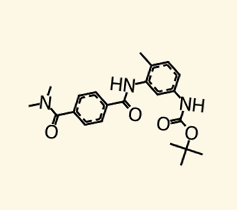 Cc1ccc(NC(=O)OC(C)(C)C)cc1NC(=O)c1ccc(C(=O)N(C)C)cc1